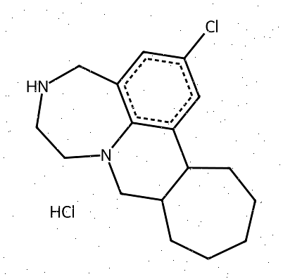 Cl.Clc1cc2c3c(c1)C1CCCCCC1CN3CCNC2